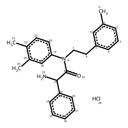 Cc1cccc(CCN(C(=O)C(N)c2ccccc2)c2ccc(C)c(C)c2)c1.Cl